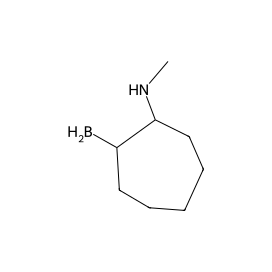 BC1CCCCCC1NC